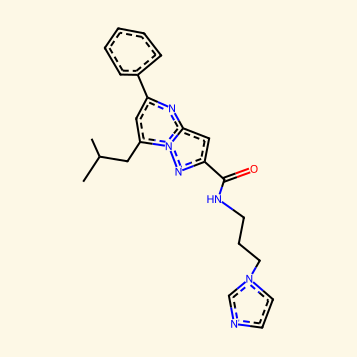 CC(C)Cc1cc(-c2ccccc2)nc2cc(C(=O)NCCCn3ccnc3)nn12